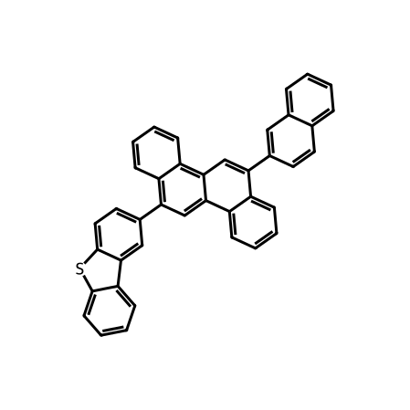 c1ccc2cc(-c3cc4c5ccccc5c(-c5ccc6sc7ccccc7c6c5)cc4c4ccccc34)ccc2c1